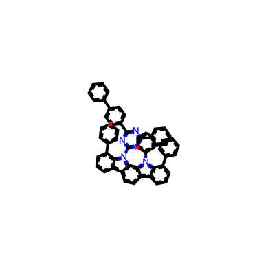 c1ccc(-c2ccc(-c3nc(-c4ccccc4)nc(-n4c5c(-c6ccccc6)cccc5c5ccc6c7cccc(-c8ccccc8)c7n(-c7ccccc7)c6c54)n3)cc2)cc1